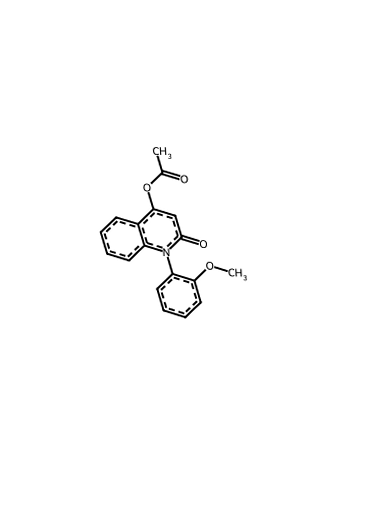 COc1ccccc1-n1c(=O)cc(OC(C)=O)c2ccccc21